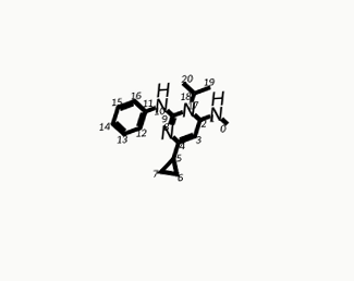 CNC1C=C(C2CC2)N=C(Nc2ccccc2)N1C(C)C